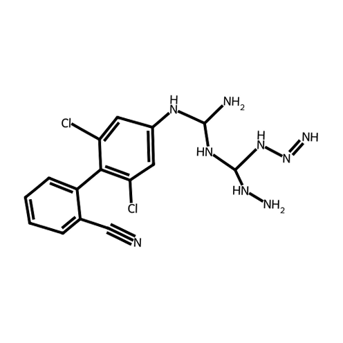 N#Cc1ccccc1-c1c(Cl)cc(NC(N)NC(NN)NN=N)cc1Cl